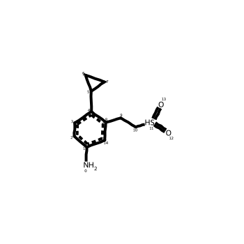 Nc1ccc(C2[CH]C2)c(CC[SH](=O)=O)c1